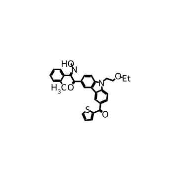 CCOCCn1c2ccc(C(=O)C(=NO)c3ccccc3C)cc2c2cc(C(=O)c3cccs3)ccc21